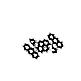 c1csc(N(c2c3ccccc3cc3ccccc23)c2ccc3ccc4c(N(c5cccs5)c5c6ccccc6cc6ccccc56)ccc5ccc2c3c54)c1